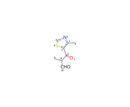 Cc1ncsc1C(=O)C(C)C=O